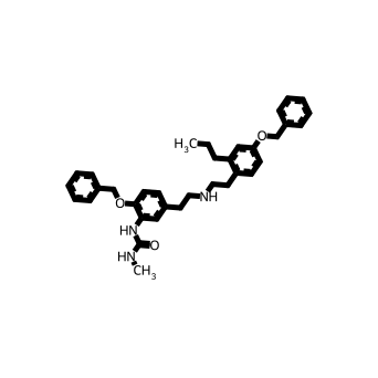 CCCc1cc(OCc2ccccc2)ccc1CCNCCc1ccc(OCc2ccccc2)c(NC(=O)NC)c1